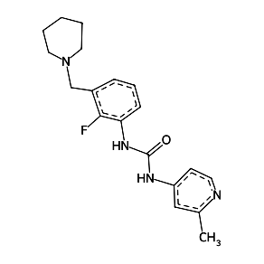 Cc1cc(NC(=O)Nc2cccc(CN3CCCCC3)c2F)ccn1